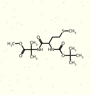 COC(=O)C(C)(C)NC(=O)C(CCSC)NC(=O)OC(C)(C)C